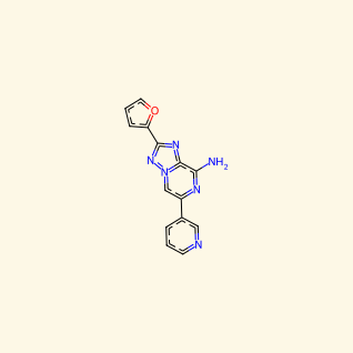 Nc1nc(-c2cccnc2)cn2nc(-c3ccco3)nc12